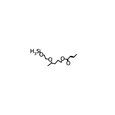 CC=CC(=O)OCCCC(C)OCCO[SiH3]